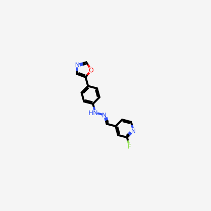 Fc1cc(C=NNc2ccc(-c3cnco3)cc2)ccn1